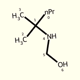 CCCC(C)(C)NCO